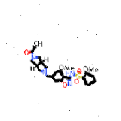 C#CC(=O)N1C[C@H]2CN(Cc3cc(OC)c4c(NS(=O)(=O)c5ccccc5OC)noc4c3)C[C@H]2C1